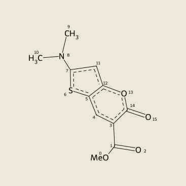 COC(=O)c1cc2sc(N(C)C)cc2oc1=O